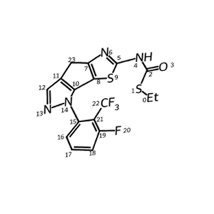 CCSC(=O)Nc1nc2c(s1)-c1c(cnn1-c1cccc(F)c1C(F)(F)F)C2